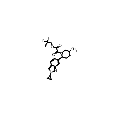 CC1CCC(c2ccc3cn(C4CC4)nc3c2)N(C(=O)C(=O)OCC(F)(F)F)C1